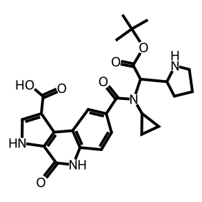 CC(C)(C)OC(=O)C(C1CCCN1)N(C(=O)c1ccc2[nH]c(=O)c3[nH]cc(C(=O)O)c3c2c1)C1CC1